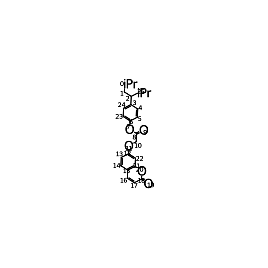 CC(C)CC(c1ccc(OC(=O)COc2ccc3ccc(=O)oc3c2)cc1)C(C)C